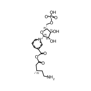 C[C@@H](CCN)CC(=O)OC(=O)c1ccc[n+]([C@@H]2O[C@H](COP(=O)([O-])O)[C@@H](O)[C@H]2O)c1